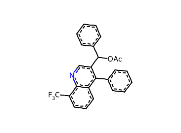 CC(=O)OC(c1ccccc1)c1cnc2c(C(F)(F)F)cccc2c1-c1ccccc1